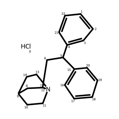 Cl.c1ccc(C(CC2CC3CCN2CC3)c2ccccc2)cc1